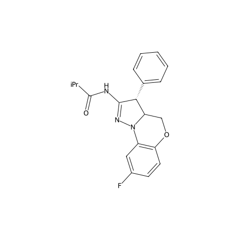 CC(C)C(=O)NC1=NN2c3cc(F)ccc3OCC2[C@H]1c1ccccc1